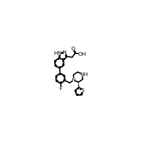 O=C(O)Cc1n[nH]c2ccc(-c3ccc(F)c(CN4CCNC[C@H]4c4cccs4)c3)cc12